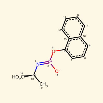 C[C@H](N=[P+]([O-])Oc1cccc2ccccc12)C(=O)O